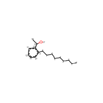 CCCCCCCCCc1ccccc1C(C)[O]